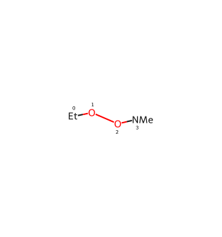 CCOONC